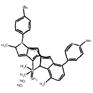 CC1=Cc2c(-c3ccc(C(C)(C)C)cc3)ccc(C)c2[CH]1[Zr]([CH3])([CH3])(=[SiH2])[C]1=C(C(C)C)C=C2C1=CC(C)N2c1ccc(C(C)(C)C)cc1.Cl.Cl